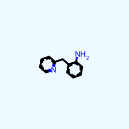 Nc1ccccc1Cc1ccccn1